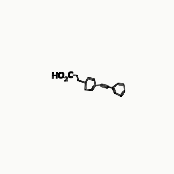 O=C(O)CCc1ccc(C#Cc2ccccc2)cc1